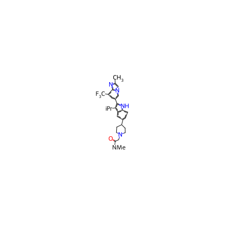 CNC(=O)CN1CCC(c2ccc3[nH]c(-c4cc(C(F)(F)F)c5nc(C)cn5c4)c(C(C)C)c3c2)CC1